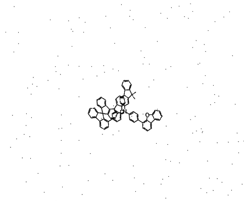 CC1(C)c2ccccc2-c2ccc(N(c3ccc(-c4cccc5c4C4(c6ccccc6-5)c5ccccc5-c5c4ccc4oc6ccccc6c54)cc3)c3ccc(-c4cccc5c4oc4ccccc45)cc3)cc21